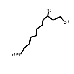 CCCCCCCCCCCCC[CH]C(CC)CCO